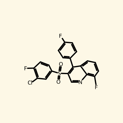 O=S(=O)(c1ccc(F)c(Cl)c1)c1cnc2c(F)cccc2c1-c1ccc(F)cc1